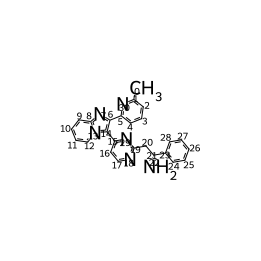 Cc1cccc(-c2nc3ccccn3c2-c2ccnc(C[C@@H](N)c3ccccc3)n2)n1